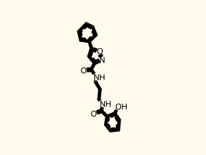 O=C(NCCCNC(=O)c1ccccc1O)c1cc(-c2ccccc2)on1